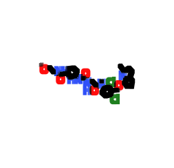 COCCNC(=O)c1cccc(NC(=O)NCC(=O)N(C)c2ccc(Cl)c(COc3cccc4ccc(C)nc34)c2Cl)c1